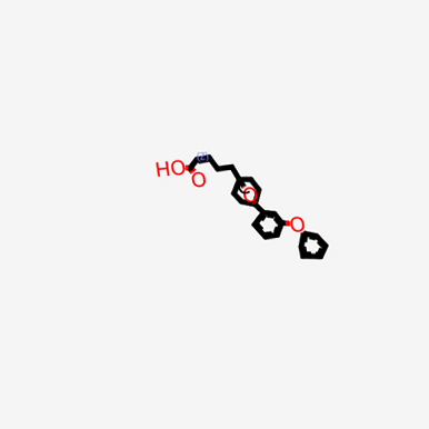 O=C(O)/C=C\CCC12CCC(c3cccc(Oc4ccccc4)c3)(CC1)OC2